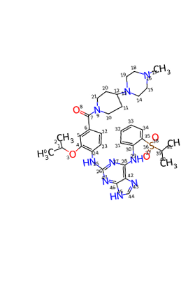 CC(C)Oc1cc(C(=O)N2CCC(N3CCN(C)CC3)CC2)ccc1Nc1nc(Nc2ccccc2S(=O)(=O)C(C)C)c2nc[nH]c2n1